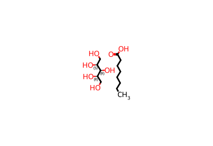 CCCCCCCC(=O)O.OC[C@@H](O)[C@H](O)[C@@H](O)CO